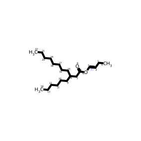 CC/C=C/OC(=O)CC(CCCCCC)CCCCCCCC